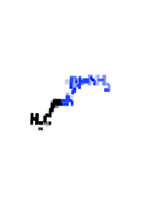 C/C=N/NN